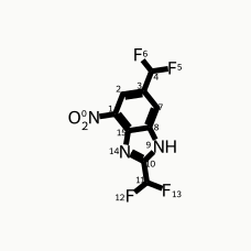 O=[N+]([O-])c1cc(C(F)F)cc2[nH]c(C(F)F)nc12